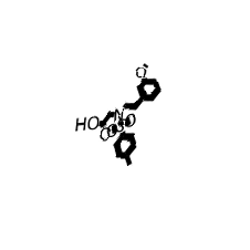 COc1cccc(CCN(CC(=O)O)S(=O)(=O)c2ccc(C)cc2)c1